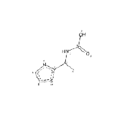 CC(NC(=O)O)c1nccs1